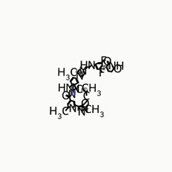 Cc1cc2cc(n1)-c1cnn(C)c1OCCC[C@@H](C)CN1/C(=N/C2=O)Nc2ccc(N3CCN(CCNc4cc(F)c([C@H]5CCC(=O)NC5=O)c(F)c4)C[C@@H]3C)cc21